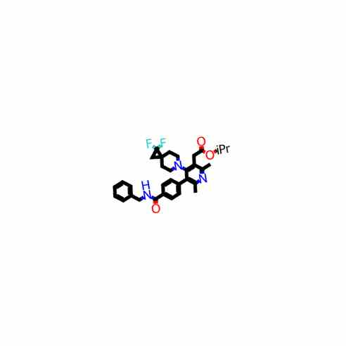 Cc1nc(C)c(-c2ccc(C(=O)NCc3ccccc3)cc2)c(N2CCC3(CC2)CC3(F)F)c1CC(=O)OC(C)C